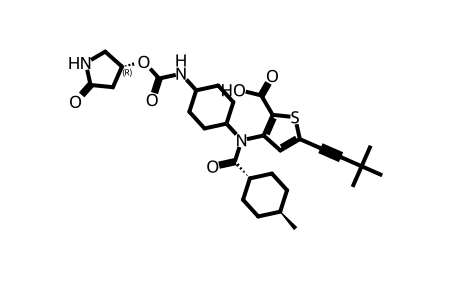 CC(C)(C)C#Cc1cc(N(C(=O)[C@H]2CC[C@H](C)CC2)C2CCC(NC(=O)O[C@H]3CNC(=O)C3)CC2)c(C(=O)O)s1